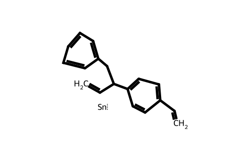 C=Cc1ccc(C(C=C)Cc2ccccc2)cc1.[Sn]